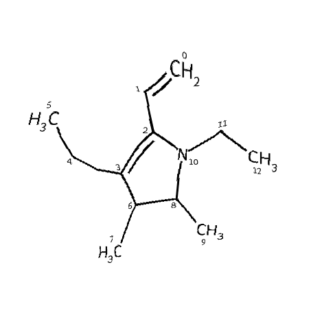 C=CC1=C(CC)C(C)C(C)N1CC